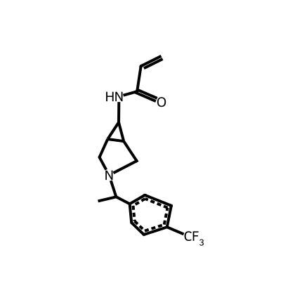 C=CC(=O)NC1C2CN(C(C)c3ccc(C(F)(F)F)cc3)CC21